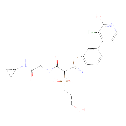 O=C(CNC(=O)C(c1nc2ccc(-c3ccnc(O)c3F)cc2s1)S(=O)(=O)CCCO)NC1CC1